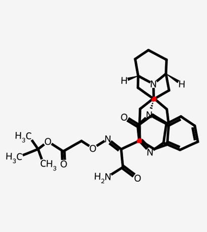 CC(C)(C)OC(=O)CO/N=C(\C(N)=O)c1nc2ccccc2n([C@H]2C[C@H]3CCC[C@@H](C2)N3C2CC3CCCC(C3)C2)c1=O